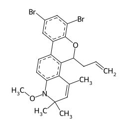 C=CCC1Oc2c(Br)cc(Br)cc2-c2ccc3c(c21)C(C)=CC(C)(C)N3OC